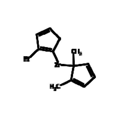 CCC1=[C]([Zr][C]2(C)C=CC=C2C)CC=C1